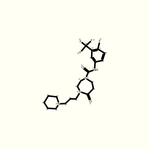 O=C1CCN(C(=O)Nc2ccc(F)c(C(F)(F)F)c2)CCN1CCCN1CCCCC1